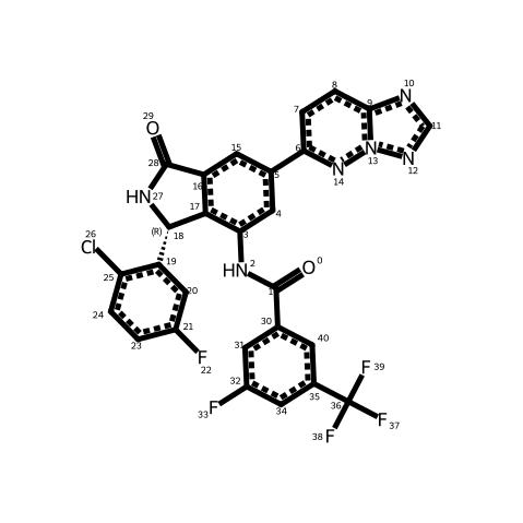 O=C(Nc1cc(-c2ccc3ncnn3n2)cc2c1[C@H](c1cc(F)ccc1Cl)NC2=O)c1cc(F)cc(C(F)(F)F)c1